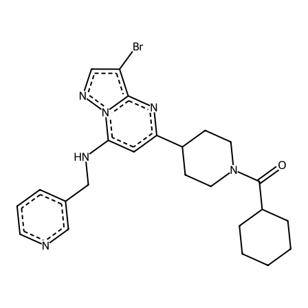 O=C(C1CCCCC1)N1CCC(c2cc(NCc3cccnc3)n3ncc(Br)c3n2)CC1